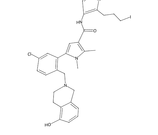 Cc1c(C(=O)Nc2cnn(C)c2CCCI)cc(-c2cc(Cl)ccc2CN2CCc3c(O)cccc3C2)n1C